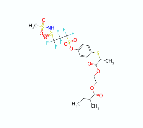 CCC(C)C(=O)OCCOC(=O)C(C)Sc1ccc(OS(=O)(=O)C(F)(F)C(F)(F)C(F)(F)S(=O)(=O)NS(C)(=O)=O)cc1